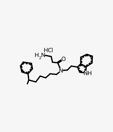 CC(CCCCCN(CCc1c[nH]c2ccccc12)C(=O)CCN)c1ccccc1.Cl